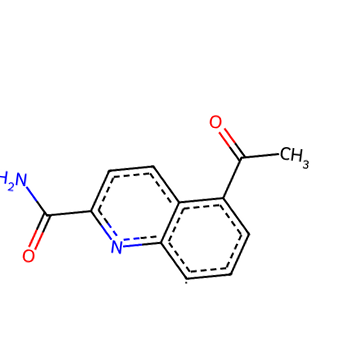 CC(=O)c1cc[c]c2nc(C(N)=O)ccc12